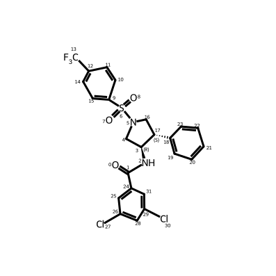 O=C(N[C@H]1CN(S(=O)(=O)c2ccc(C(F)(F)F)cc2)C[C@@H]1c1ccccc1)c1cc(Cl)cc(Cl)c1